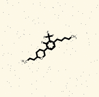 CCCCCc1ccc(C2CCC(CCC)OC2)c(F)c1C(F)(F)F